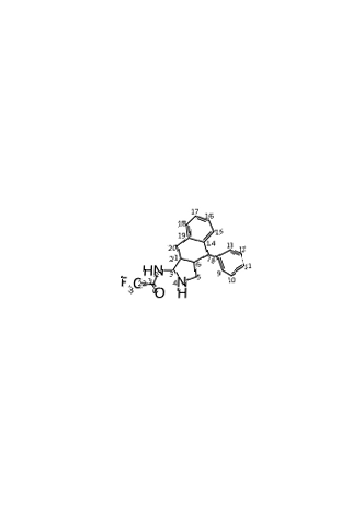 O=C(NC1NCC2C(c3ccccc3)c3ccccc3CC12)C(F)(F)F